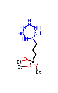 CCO[Si](CCCn1[nH][nH][nH][nH][nH][nH]1)(OCC)OCC